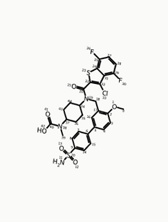 COc1ccc(-c2ccc(S(N)(=O)=O)cc2)cc1CN(C(=O)c1sc2c(F)ccc(F)c2c1Cl)C1CCC(N(C)C(=O)O)CC1